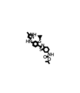 Cc1cc(Nc2ccc(-c3nc4c(s3)CC(NC(=O)OC(C)C)CC4)c(SC3CC3)c2)n[nH]1